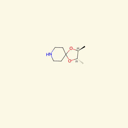 C[C@@H]1OC2(CCNCC2)O[C@H]1C